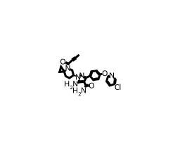 CC#CC(=O)N1C[C@@H](n2nc(-c3ccc(Oc4ccc(Cl)cn4)cc3)c(C(N)=O)c2N)CCC12CC2